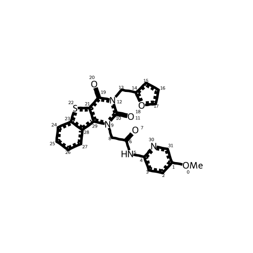 COc1ccc(NC(=O)Cn2c(=O)n(Cc3ccco3)c(=O)c3sc4ccccc4c32)nc1